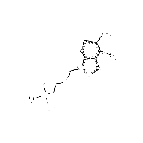 Cc1ccc2c(cnn2COCC[Si](C)(C)C)c1Br